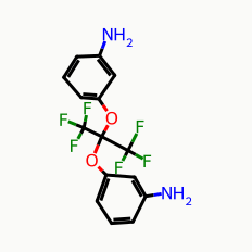 Nc1cccc(OC(Oc2cccc(N)c2)(C(F)(F)F)C(F)(F)F)c1